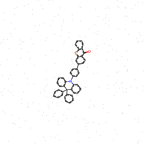 O=c1c2ccccc2sc2cc(-c3ccc(N4c5ccccc5C(c5ccccc5)(c5ccccc5)c5ccccc54)cc3)ccc12